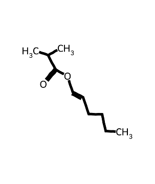 CCCCC=COC(=O)C(C)C